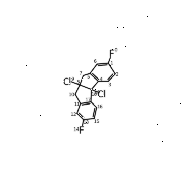 Fc1ccc2c(c1)CC1(Cl)Cc3cc(F)ccc3C21Cl